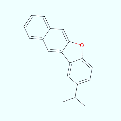 CC(C)c1ccc2oc3cc4ccccc4cc3c2c1